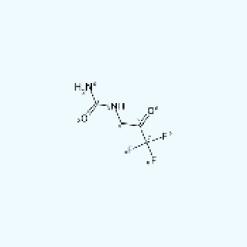 NC(=O)NCC(=O)C(F)(F)F